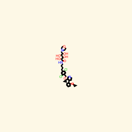 O=C(NCCCCc1cc(Cl)c(COC2(c3cnccc3-c3ccccc3OC3CC3)CC2)cc1Cl)[C@@H](O)[C@@H](O)[C@H](O)[C@@H](O)CN1CCOCC1